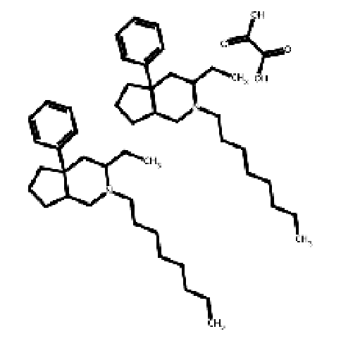 CCCCCCCCN1CC2CCCC2(c2ccccc2)CC1CC.CCCCCCCCN1CC2CCCC2(c2ccccc2)CC1CC.O=C(O)C(=O)O